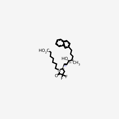 C[C@@H](CCCc1ccc2ccccc2c1)[C@H](O)/C=C/[C@H]1CC(F)(F)C(=O)N1CCCCCCC(=O)O